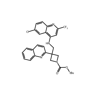 CC(C)(C)OC(=O)N1CC(CNc2cc(C(F)(F)F)nc3ccc(Cl)cc23)(c2ccc3ccccc3n2)C1